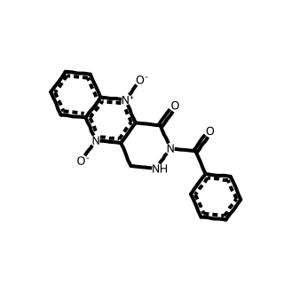 O=C(c1ccccc1)N1NCc2c([n+]([O-])c3ccccc3[n+]2[O-])C1=O